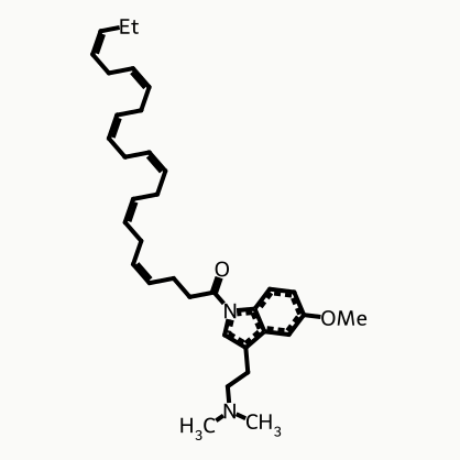 CC/C=C\C/C=C\C/C=C\C/C=C\C/C=C\C/C=C\CCC(=O)n1cc(CCN(C)C)c2cc(OC)ccc21